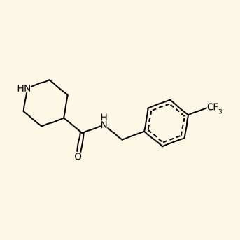 O=C(NCc1ccc(C(F)(F)F)cc1)C1CCNCC1